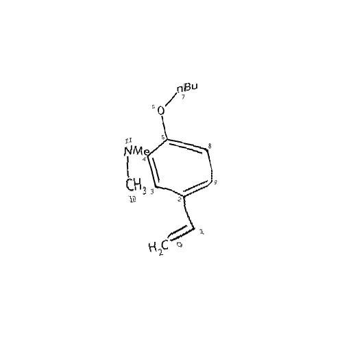 C=Cc1ccc(OCCCC)cc1.CNC